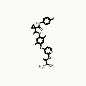 C[C@H](O)C(=O)Nc1cc(Oc2cc(F)c(NC(=O)C3(C(=O)Nc4ccc(F)cc4)CC3)cc2F)ccn1